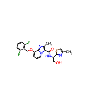 Cc1csc(C(CO)NC(=O)c2c(C)nc3c(OCc4c(F)cccc4F)cccn23)n1